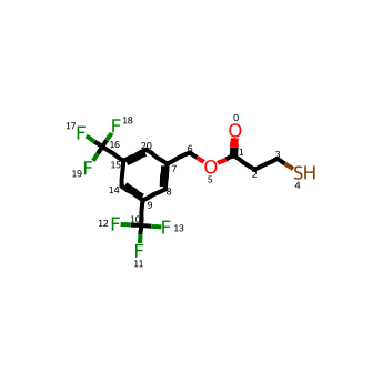 O=C(CCS)OCc1cc(C(F)(F)F)cc(C(F)(F)F)c1